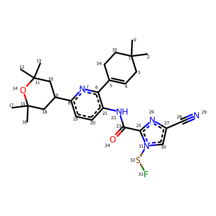 CC1(C)CC=C(c2nc(C3CC(C)(C)OC(C)(C)C3)ccc2NC(=O)c2nc(C#N)cn2SF)CC1